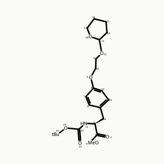 COC(=O)[C@H](Cc1ccc(OCCOC2CCCCO2)cc1)NC(=O)OC(C)(C)C